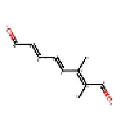 C\C(C=O)=C(C)/C=C/C=C/C=O